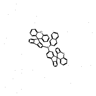 c1ccc2c(c1)Oc1ccccc1C21c2ccccc2-c2ccc(N(c3ccc4c(c3)C3(c5ccccc5Sc5ccccc53)c3ccccc3-4)c3ccc4ccccc4c3)cc21